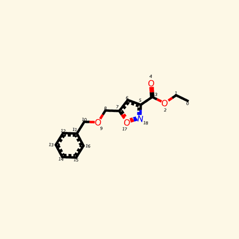 CCOC(=O)c1cc(COCc2ccccc2)on1